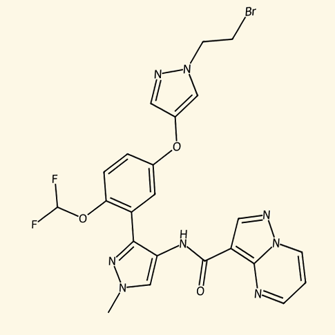 Cn1cc(NC(=O)c2cnn3cccnc23)c(-c2cc(Oc3cnn(CCBr)c3)ccc2OC(F)F)n1